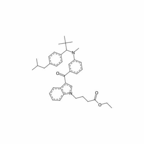 CCOC(=O)CCCn1cc(C(=O)c2cccc(N(C)C(c3ccc(CC(C)C)cc3)C(C)(C)C)c2)c2ccccc21